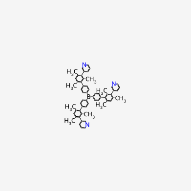 Cc1cc(C)c(-c2cccnc2)c(C)c1-c1ccc(B(c2ccc(-c3c(C)cc(C)c(-c4cccnc4)c3C)cc2)c2ccc(-c3c(C)cc(C)c(-c4cccnc4)c3C)cc2)cc1